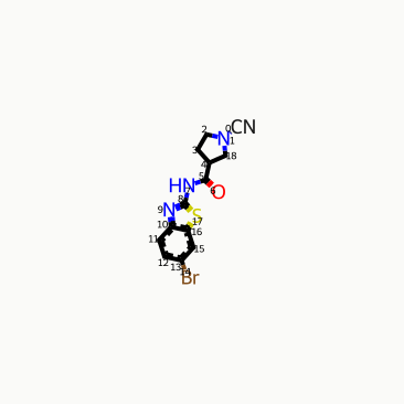 N#CN1CCC(C(=O)Nc2nc3ccc(Br)cc3s2)C1